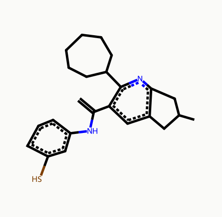 C=C(Nc1cccc(S)c1)c1cc2c(nc1C1CCCCCC1)CC(C)C2